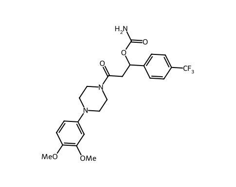 COc1ccc(N2CCN(C(=O)CC(OC(N)=O)c3ccc(C(F)(F)F)cc3)CC2)cc1OC